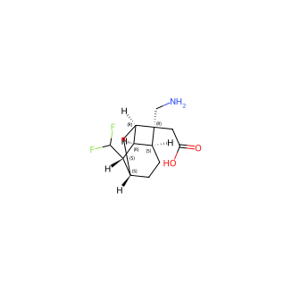 NC[C@@]1(CC(=O)O)[C@@H]2C[C@@H]3CC[C@H]1[C@H]2[C@H]3C(F)F